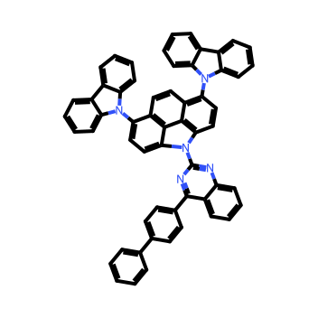 c1ccc(-c2ccc(-c3nc(-n4c5ccc(-n6c7ccccc7c7ccccc76)c6ccc7c(-n8c9ccccc9c9ccccc98)ccc4c7c65)nc4ccccc34)cc2)cc1